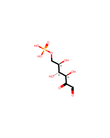 O=CC(=O)[C@H](O)[C@H](O)[C@H](O)COP(=O)(O)O